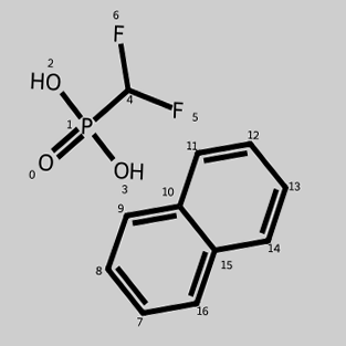 O=P(O)(O)C(F)F.c1ccc2ccccc2c1